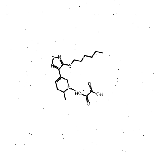 CCCCCCSc1nsnc1C1=CCC(C)N(C)C1.O=C(O)C(=O)O